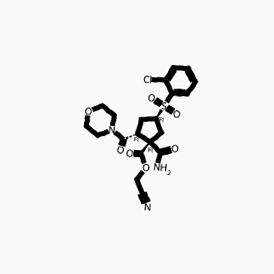 N#CCOC(=O)[C@]1(C(N)=O)C[C@H](S(=O)(=O)c2ccccc2Cl)C[C@H]1C(=O)N1CCOCC1